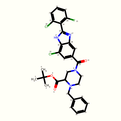 CC(C)(C)OC(=O)C1CN(C(=O)c2cc(Cl)c3[nH]c(-c4c(F)cccc4Cl)nc3c2)CCN1Cc1ccccc1